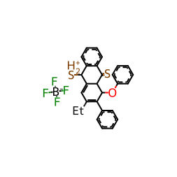 CCC1=C(c2ccccc2)C(Oc2ccccc2)C2C(=S)c3ccccc3C([SH2+])C2=C1.F[B-](F)(F)F